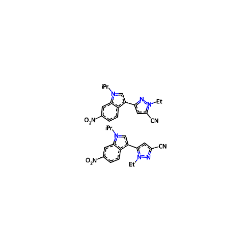 CCn1nc(-c2cn(C(C)C)c3cc([N+](=O)[O-])ccc23)cc1C#N.CCn1nc(C#N)cc1-c1cn(C(C)C)c2cc([N+](=O)[O-])ccc12